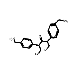 NCc1ccc(C(CBr)C(=O)C(CBr)c2ccc(CN)cc2)cc1